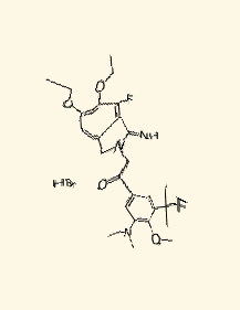 Br.CCOc1cc2c(c(F)c1OCC)C(=N)N(CC(=O)c1cc(N(C)C)c(OC)c(C(C)(C)F)c1)C2